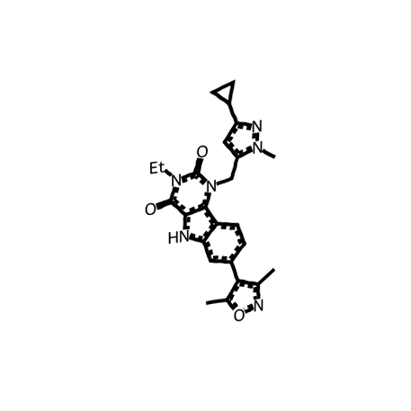 CCn1c(=O)c2[nH]c3cc(-c4c(C)noc4C)ccc3c2n(Cc2cc(C3CC3)nn2C)c1=O